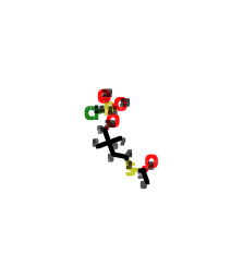 CC(=O)SCCC(C)(C)COS(=O)(=O)Cl